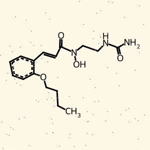 CCCCOc1ccccc1C=CC(=O)N(O)CCNC(N)=O